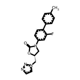 Cc1ccc(-c2ccc(N3C[C@H](Cn4ccnn4)OC3=O)cc2F)cc1